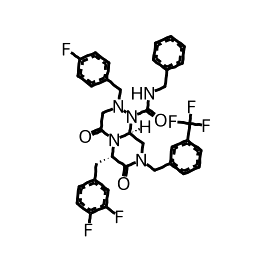 O=C1[C@H](Cc2ccc(F)c(F)c2)N2C(=O)CN(Cc3ccc(F)cc3)N(C(=O)NCc3ccccc3)[C@H]2CN1Cc1cccc(C(F)(F)F)c1